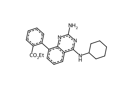 CCOC(=O)c1ccccc1-c1cccc2c(NC3CCCCC3)nc(N)nc12